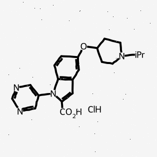 CC(C)N1CCC(Oc2ccc3c(c2)cc(C(=O)O)n3-c2cncnc2)CC1.Cl